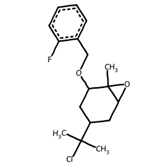 CC(C)(Cl)C1CC(OCc2ccccc2F)C2(C)OC2C1